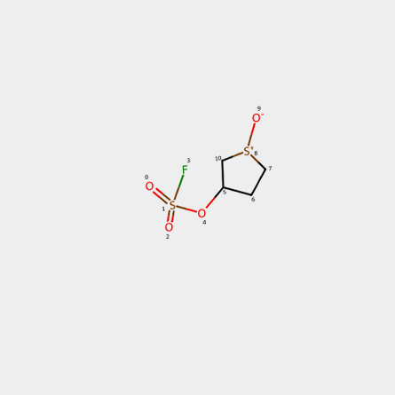 O=S(=O)(F)OC1CC[S+]([O-])C1